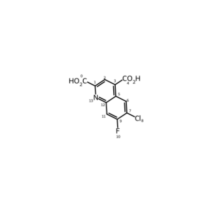 O=C(O)c1cc(C(=O)O)c2cc(Cl)c(F)cc2n1